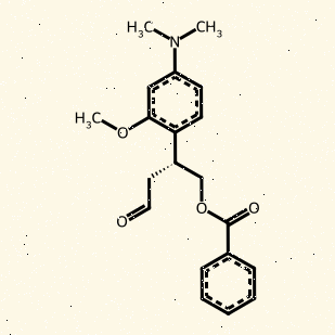 COc1cc(N(C)C)ccc1[C@@H](CC=O)COC(=O)c1ccccc1